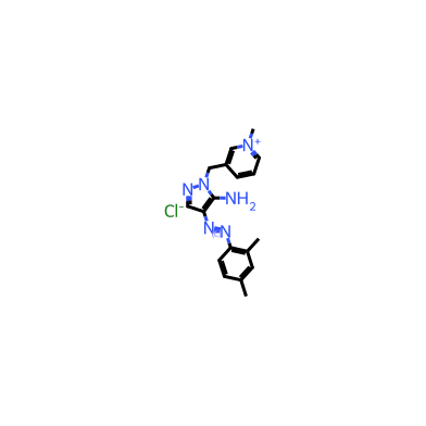 Cc1ccc(/N=N/c2cnn(Cc3ccc[n+](C)c3)c2N)c(C)c1.[Cl-]